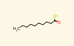 CCCCCCCCCC(=O)S